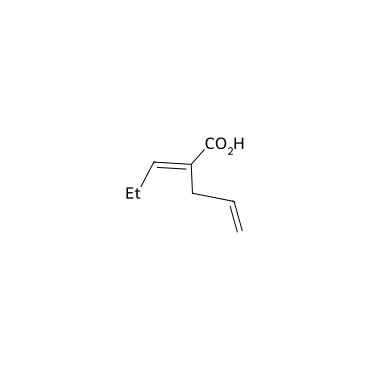 C=CCC(=CCC)C(=O)O